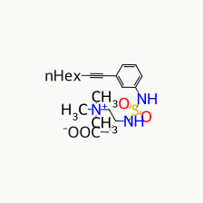 CCCCCCC#Cc1cccc(NS(=O)(=O)N[C@H](CC(=O)[O-])C[N+](C)(C)C)c1